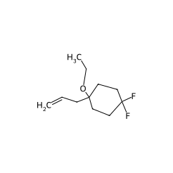 C=CCC1(OCC)CCC(F)(F)CC1